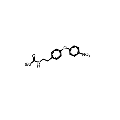 CC(C)(C)C(=O)NCCc1ccc(Oc2ccc([N+](=O)[O-])cc2)cc1